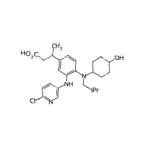 CC(C)CN(c1ccc(C(C)CC(=O)O)cc1Nc1ccc(Cl)nc1)C1CCC(O)CC1